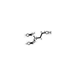 O=PN(CCO)P=O